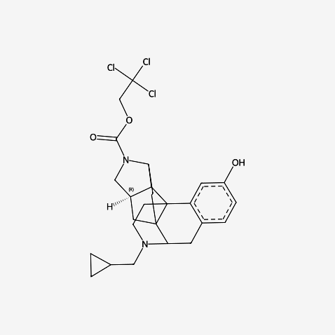 O=C(OCC(Cl)(Cl)Cl)N1C[C@@H]2CC34CCC1C2C31CCN(CC2CC2)C4Cc2ccc(O)cc21